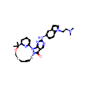 CN(C)CCn1ccc2cc(Nc3ncc4c(=O)n5n(c4n3)-c3cccc(n3)C(C)(C)OCCC/C=C\C5)ccc21